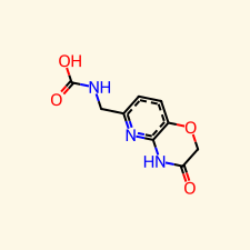 O=C(O)NCc1ccc2c(n1)NC(=O)CO2